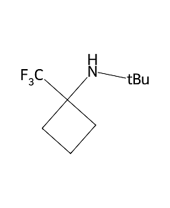 CC(C)(C)NC1(C(F)(F)F)CCC1